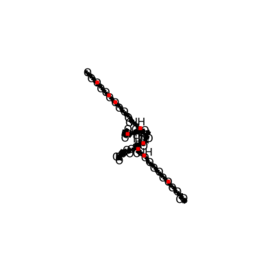 COCCOCCOCCOCCOCCOCCOCCOCCOCCOCC(=O)NCCCC[C@H](NC(=O)CCCN1C(=O)C=CC1=O)C(=O)N[C@H](C(=O)N[C@@H](C)C(=O)Nc1ccc(COC(=O)Oc2ccc([N+](=O)[O-])cc2)c(C(=O)NCCOCCOCCOCCOCCOCCOCCOCCOCCC(=O)OC(C)(C)C)c1)C(C)C